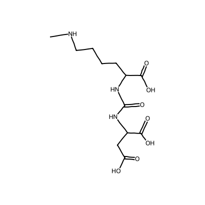 CNCCCCC(NC(=O)NC(CC(=O)O)C(=O)O)C(=O)O